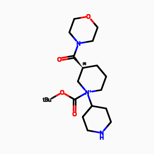 CC(C)(C)OC(=O)[N+]1(C2CCNCC2)CCC[C@@H](C(=O)N2CCOCC2)C1